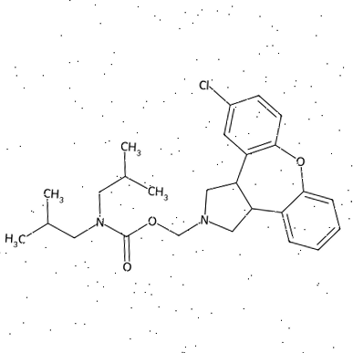 CC(C)CN(CC(C)C)C(=O)OCN1CC2c3ccccc3Oc3ccc(Cl)cc3C2C1